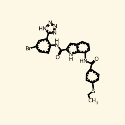 CCSc1ccc(C(=O)Nc2cccc3cc(C(=O)Nc4ccc(Br)cc4-c4nnn[nH]4)[nH]c23)cc1